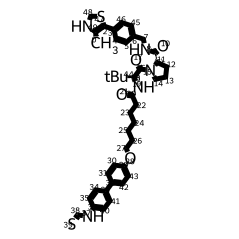 CC1=C(c2ccc(CNC(=O)[C@@H]3CCCN3C(=O)[C@@H](NC(=O)CCCCCCOc3ccc(-c4ccc(NC=S)cc4)cc3)C(C)(C)C)cc2)SCN1